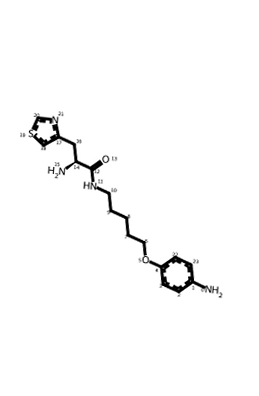 Nc1ccc(OCCCCCNC(=O)[C@@H](N)Cc2cscn2)cc1